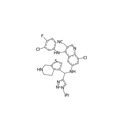 CC(C)n1cc(C(Nc2cc(Cl)c3ncc(C#N)c(Nc4ccc(F)c(Cl)c4)c3c2)c2csc3c2CCNC3)nn1